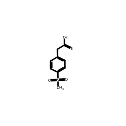 CS(=O)(=O)c1ccc(CC(O)=S)cc1